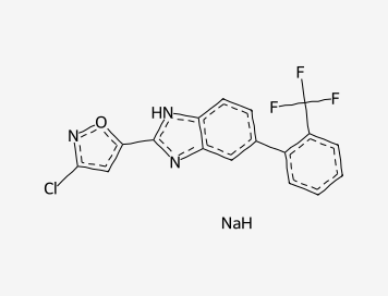 FC(F)(F)c1ccccc1-c1ccc2[nH]c(-c3cc(Cl)no3)nc2c1.[NaH]